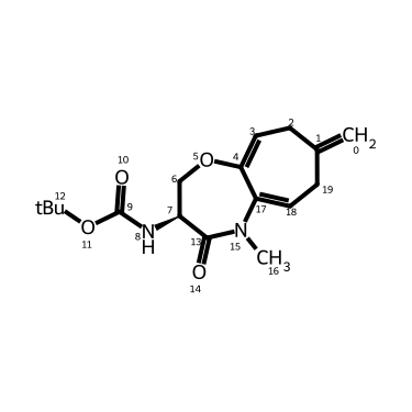 C=C1CC=C2OC[C@H](NC(=O)OC(C)(C)C)C(=O)N(C)C2=CC1